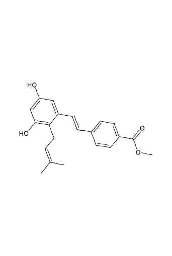 COC(=O)c1ccc(C=Cc2cc(O)cc(O)c2CC=C(C)C)cc1